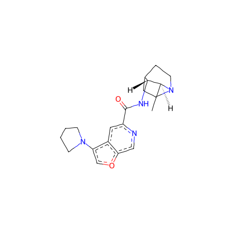 C[C@H]1[C@H](NC(=O)c2cc3c(N4CCCC4)coc3cn2)C2CCN1CC2